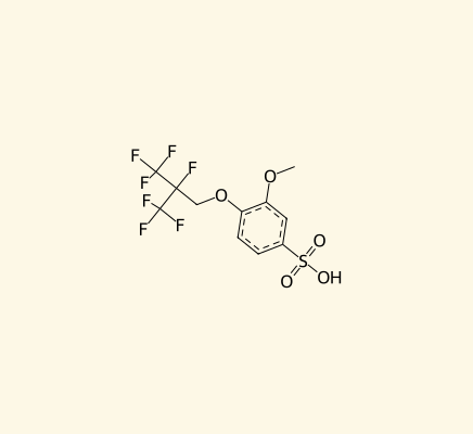 COc1cc(S(=O)(=O)O)ccc1OCC(F)(C(F)(F)F)C(F)(F)F